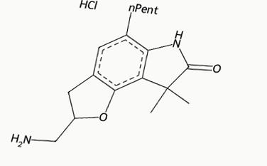 CCCCCc1cc2c(c3c1NC(=O)C3(C)C)OC(CN)C2.Cl